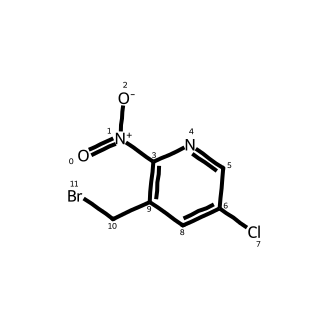 O=[N+]([O-])c1ncc(Cl)cc1CBr